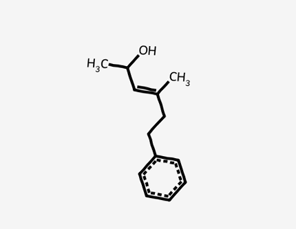 CC(=CC(C)O)CCc1ccccc1